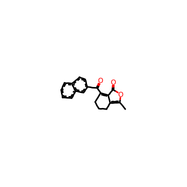 CC1=C2CCCC(C(=O)c3ccc4ccccc4c3)=C2C(=O)O1